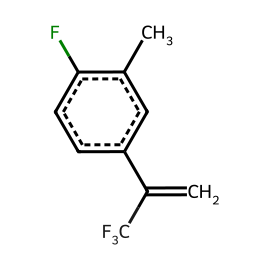 C=C(c1ccc(F)c(C)c1)C(F)(F)F